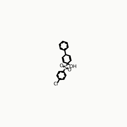 O=S(=O)(c1ccc(Cl)cc1)C1(O)C=CC(c2ccccc2)C=C1